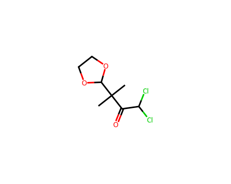 CC(C)(C(=O)C(Cl)Cl)C1OCCO1